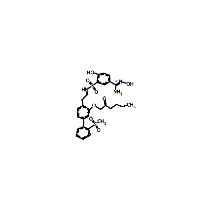 CCCCC(=O)COc1cc(-c2ccccc2S(C)(=O)=O)ccc1CCNS(=O)(=O)c1cc(/C(N)=N/O)ccc1O